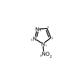 O=[N+]([O-])n1ccnn1